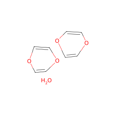 C1=COC=CO1.C1=COC=CO1.O